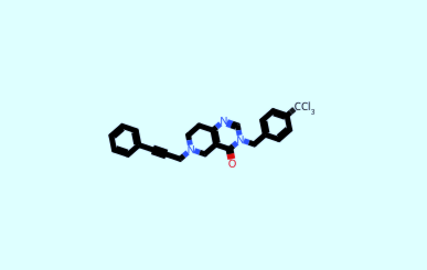 O=c1c2c(ncn1Cc1ccc(C(Cl)(Cl)Cl)cc1)CCN(CC#Cc1ccccc1)C2